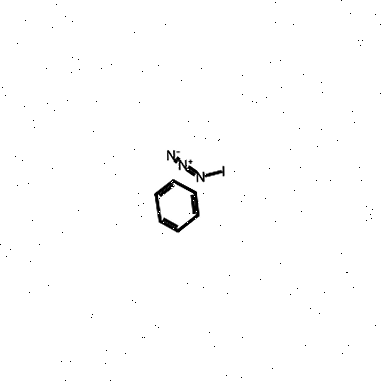 [N-]=[N+]=NI.c1ccccc1